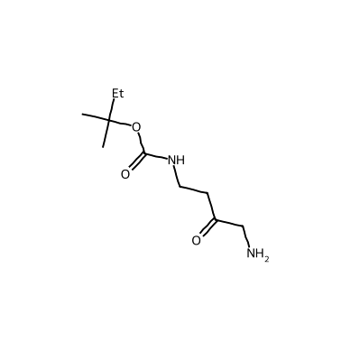 CCC(C)(C)OC(=O)NCCC(=O)CN